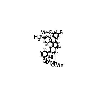 CONC(=O)Nc1c(Cl)cccc1-c1ccc2ncc(-c3cc(F)cc(OC)c3)c(N3CCC(N)CC3)c2c1